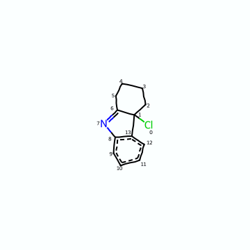 ClC12CCCCC1=Nc1ccccc12